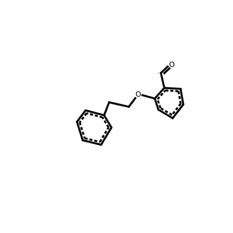 O=[C]c1ccccc1OCCc1ccccc1